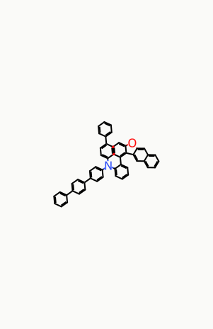 c1ccc(-c2ccc(-c3ccc(N(c4ccc(-c5ccccc5)cc4)c4ccccc4-c4cccc5oc6cc7ccccc7cc6c45)cc3)cc2)cc1